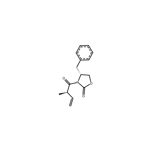 C=C[C@@H](C)C(=O)N1C(=O)OC[C@H]1Cc1ccccc1